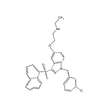 CCNCCOc1ccc2c(c1)c(S(=O)(=O)c1cccc3ccccc13)nn2Cc1cccc(Cl)c1